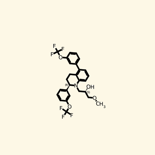 COC[C@@H](O)CN1c2cccc(-c3cccc(OC(F)(F)F)c3)c2CC[C@@H]1c1cccc(OC(F)(F)F)c1